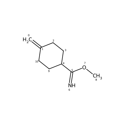 C=C1CCC(C(=N)OC)CC1